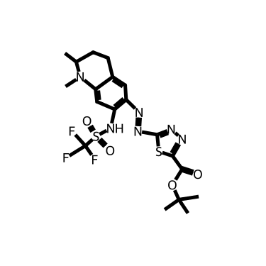 CC1CCc2cc(N=Nc3nnc(C(=O)OC(C)(C)C)s3)c(NS(=O)(=O)C(F)(F)F)cc2N1C